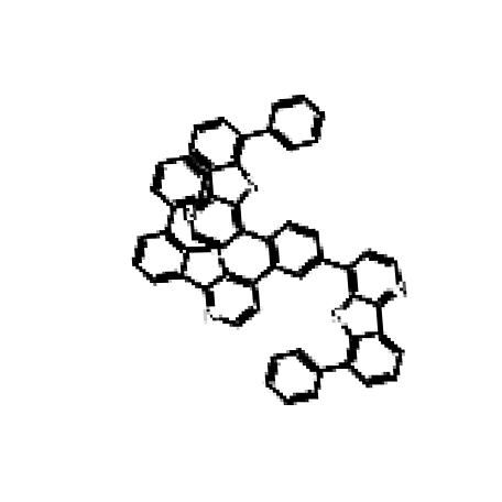 c1ccc(-c2cccc3c2sc2c(-c4ccc(-c5ccnc6c5sc5c(-c7ccccc7)cccc56)c(-c5ccnc6c5sc5c(-c7ccccc7)cccc56)c4)ccnc23)cc1